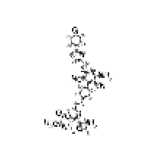 C[C@H](N)C(=O)OC[C@H](CCc1ccc(-c2c(C#N)c(N)nc(SCc3coc(-c4ccc(Cl)cc4)n3)c2C#N)cc1)OC(=O)[C@H](C)N